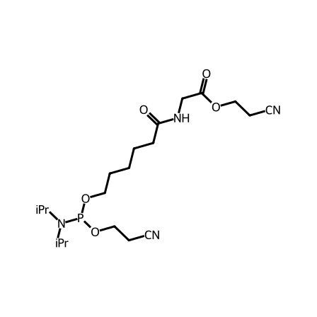 CC(C)N(C(C)C)P(OCCC#N)OCCCCCC(=O)NCC(=O)OCCC#N